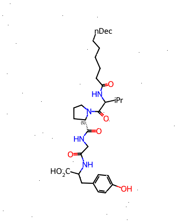 CCCCCCCCCCCCCCCC(=O)NC(C(=O)N1CCC[C@H]1C(=O)NCC(=O)NC(Cc1ccc(O)cc1)C(=O)O)C(C)C